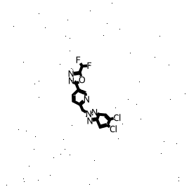 FC(F)c1nnc(-c2ccc(Cn3nc4cc(Cl)c(Cl)cc4n3)nc2)o1